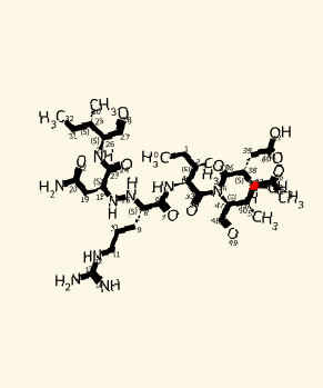 CC[C@H](C)[C@H](NC(=O)[C@H](CCCNC(=N)N)NN[C@@H](CC(N)=O)C(=O)N[C@H](C=O)[C@@H](C)CC)C(=O)N(C(=O)[C@H](CC(=O)O)NC(C)=O)[C@H](C=O)[C@@H](C)CC